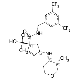 C[C@@H]1COCC[C@@H]1N[C@@H]1C=C[C@@](C(=O)NCc2cc(C(F)(F)F)cc(C(F)(F)F)c2)(C(C)(C)O)C1